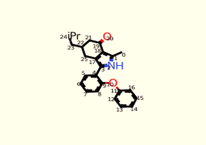 Cc1[nH]c(-c2ccccc2Oc2ccccc2)c2c1C(=O)CC(CC(C)C)C2